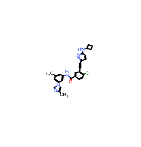 Cc1cn(-c2cc(NC(=O)c3ccc(Cl)c(C#Cc4ccc(NC5CCC5)nn4)c3)cc(C(F)(F)F)c2)cn1